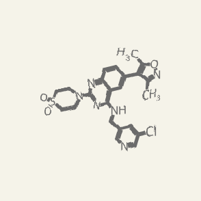 Cc1noc(C)c1-c1ccc2nc(N3CCS(=O)(=O)CC3)nc(NCc3cncc(Cl)c3)c2c1